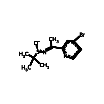 CC(=N[S@+]([O-])C(C)(C)C)c1cc(Br)ccn1